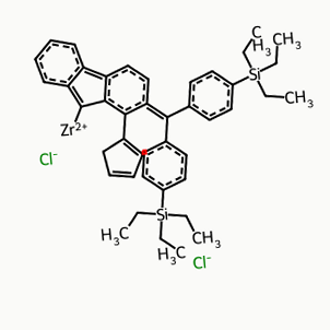 CC[Si](CC)(CC)c1ccc(C(c2ccc([Si](CC)(CC)CC)cc2)=c2ccc3c(c2C2=CC=CC2)[C]([Zr+2])=c2ccccc2=3)cc1.[Cl-].[Cl-]